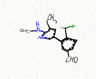 Cc1cc(-c2cc(C=O)ccc2C(F)F)cnc1NC=O